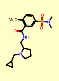 COc1ccc(S(=O)(=O)N(C)C)cc1C(=O)NCC1CCCN1CC1CC1